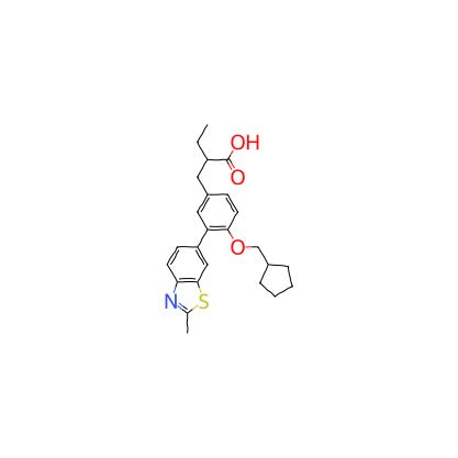 CCC(Cc1ccc(OCC2CCCC2)c(-c2ccc3nc(C)sc3c2)c1)C(=O)O